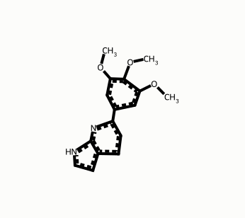 COc1cc(-c2ccc3cc[nH]c3n2)cc(OC)c1OC